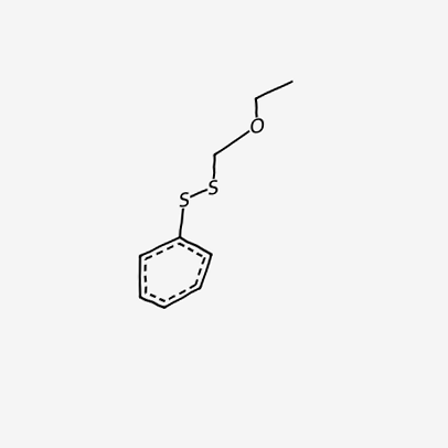 CCOCSSc1ccccc1